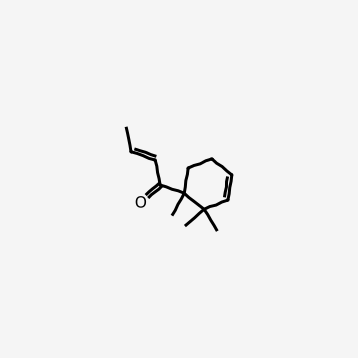 C/C=C/C(=O)C1(C)CCC=CC1(C)C